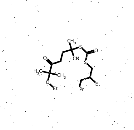 CCOC(C)(C)C(=O)CCC(C)(C#N)SC(=O)SCC(CC)CC(C)C